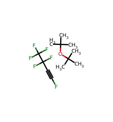 CC(C)(C)OC(C)(C)C.FC#CC(F)(F)C(F)(F)F